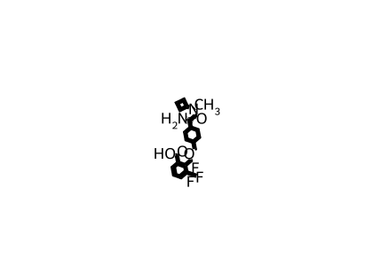 CN(C(=O)[C@@H](N)C1CCC(COCc2c(C(=O)O)cccc2C(F)(F)F)CC1)C1CCC1